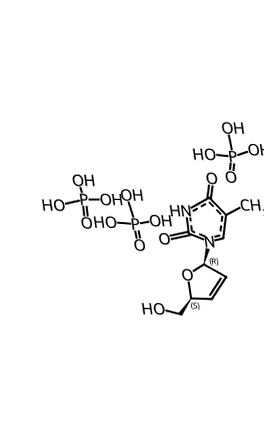 Cc1cn([C@H]2C=C[C@@H](CO)O2)c(=O)[nH]c1=O.O=P(O)(O)O.O=P(O)(O)O.O=P(O)(O)O